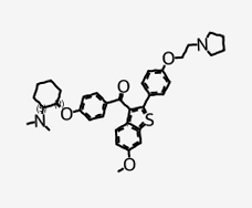 COc1ccc2c(C(=O)c3ccc(O[C@@H]4CCCC[C@@H]4N(C)C)cc3)c(-c3ccc(OCCN4CCCC4)cc3)sc2c1